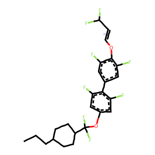 CCCC1CCC(C(F)(F)Oc2cc(F)c(-c3cc(F)c(O/C=C/C(F)F)c(F)c3)c(F)c2)CC1